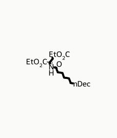 CCCCCCCCCCCCCCCC(=O)N[C@@H](CC(=O)OCC)C(=O)OCC